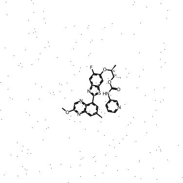 COc1cnc2c(-c3nc4cc(F)c(O[C@@H](C)[C@H](C)OC(=O)Nc5cccnc5)cc4s3)cc(C)cc2n1